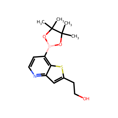 CC1(C)OB(c2ccnc3cc(CCO)sc23)OC1(C)C